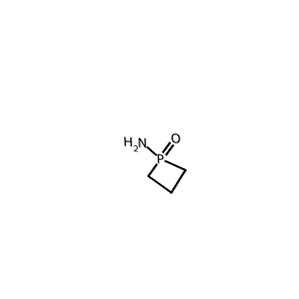 NP1(=O)CCC1